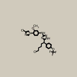 COc1cc(Nc2n[nH]c(C(CCCCCl)c3ccc(OC(F)(F)F)cc3)n2)ccc1-n1cnc(Cl)c1